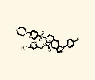 Cc1cc(COC(=O)[C@]23Cc4cnn(-c5ccc(F)cc5)c4C=C2CCN(S(=O)(=O)c2ccc(N4CCOCC4)nc2)C3)no1